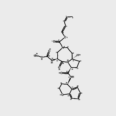 C/C=C\C=COC(=O)N1CC[C@H]2CC[C@@H](C(=O)N[C@@H]3CCOc4ccccc43)N2C(=O)[C@@H](NC(=O)OC(C)(C)C)C1